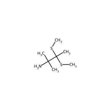 CSC(C)(SC)C(C)(C)N